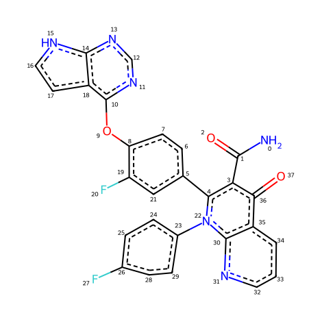 NC(=O)c1c(-c2ccc(Oc3ncnc4[nH]ccc34)c(F)c2)n(-c2ccc(F)cc2)c2ncccc2c1=O